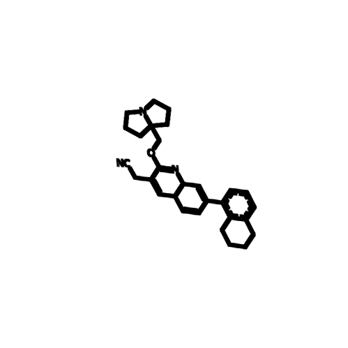 N#CCC1=CC2C=CC(c3cccc4c3CCCC4)=CC2N=C1OCC12CCCN1CCC2